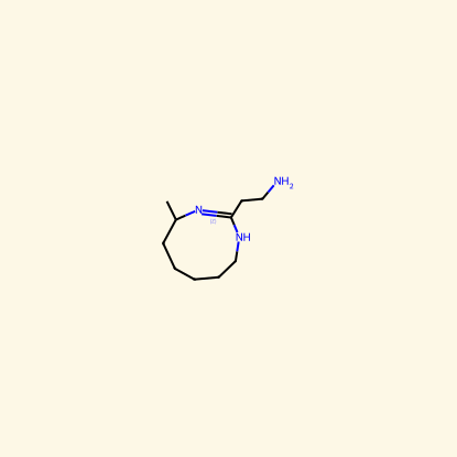 CC1CCCCCN/C(CCN)=N\1